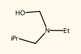 CCN(CO)CC(C)C